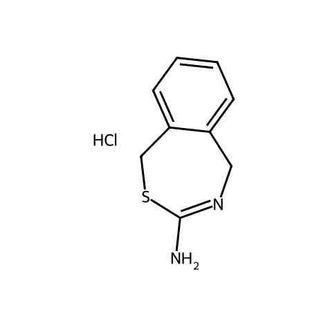 Cl.NC1=NCc2ccccc2CS1